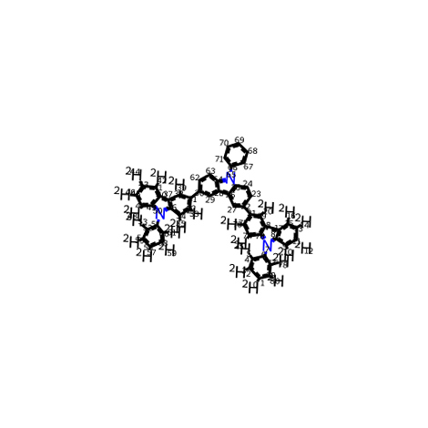 [2H]c1c([2H])c([2H])c(-n2c3c([2H])c([2H])c([2H])c([2H])c3c3c([2H])c(-c4ccc5c(c4)c4cc(-c6c([2H])c([2H])c7c(c6[2H])c6c([2H])c([2H])c([2H])c([2H])c6n7-c6c([2H])c([2H])c([2H])c([2H])c6[2H])ccc4n5-c4ccccc4)c([2H])c([2H])c32)c([2H])c1[2H]